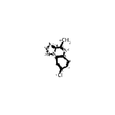 Cc1nc2ccc(Cl)cc2n2nnnc12